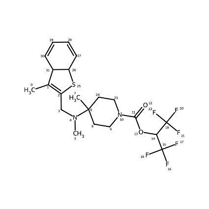 CC1=C(CN(C)C2(C)CCN(C(=O)OC(C(F)(F)F)C(F)(F)F)CC2)SC2C=CC=CC12